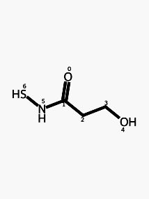 O=C(CCO)NS